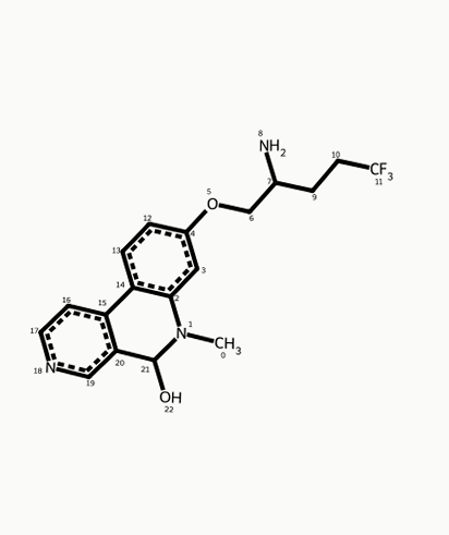 CN1c2cc(OCC(N)CCC(F)(F)F)ccc2-c2ccncc2C1O